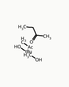 CC(C)(C)O.CC(C)=O.CCC(C)=O.CO